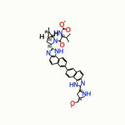 COC[C@@H]1CN[C@H](c2nc3ccc4cc(-c5ccc6c(ccc7nc([C@@H]8C[C@H]9[C@@H](C)[C@H]9N8C(=O)[C@@H](NC(=O)OC)C(C)C)[nH]c76)c5)ccc4c3[nH]2)C1